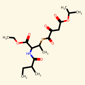 CCOC(=O)C(NC(=O)C(C)CC)C(C)SC(=O)C(=O)CC(=O)OC(C)C